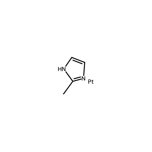 Cc1ncc[nH]1.[Pt]